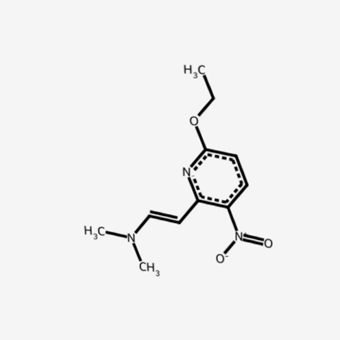 CCOc1ccc([N+](=O)[O-])c(C=CN(C)C)n1